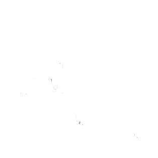 CC(C)(C)OC(=O)N(Cc1ccccc1)C1CCCCC1C(ON)C(=O)c1ccccc1NCc1ccncc1